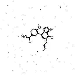 C/C=C/Cn1cc(C2=C(OC)CCC(C(=O)O)=C2)c2cc[nH]c2c1=O